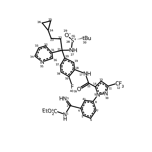 CCOC(=O)NC(=N)c1cccc(-n2nc(C(F)(F)F)cc2C(=O)Nc2cc(C(CCC3CC3)(N[S@+]([O-])C(C)(C)C)c3cccnc3)ccc2F)c1